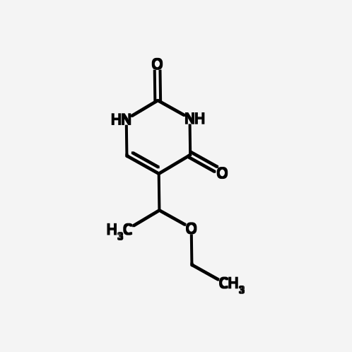 CCOC(C)c1c[nH]c(=O)[nH]c1=O